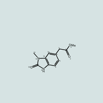 COC(=O)Cc1ccc2[nH]c(=O)n(C)c2c1